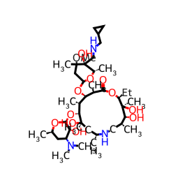 CC[C@@H]1OC(=O)[C@H](C)[C@H](OC2C[C@@](C)(OC)[C@](O)(CNCC3CC3)[C@H](C)O2)[C@@H](C)[C@@H](O[C@@H]2O[C@H](C)C[C@H](N(C)C)[C@H]2O)[C@](C)(O)C[C@@H](C)NC[C@@H](C)[C@H](O)[C@]1(C)O